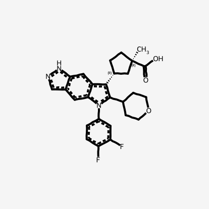 C[C@@]1(C(=O)O)CC[C@@H](c2c(C3CCOCC3)n(-c3ccc(F)c(F)c3)c3cc4cn[nH]c4cc23)C1